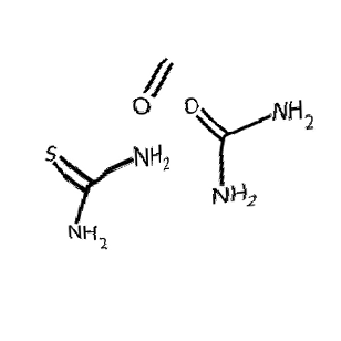 C=O.NC(N)=O.NC(N)=S